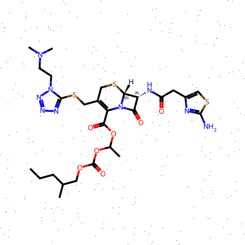 CCCC(C)COC(=O)OC(C)OC(=O)C1=C(CSc2nnnn2CCN(C)C)CS[C@@H]2[C@H](NC(=O)Cc3csc(N)n3)C(=O)N12